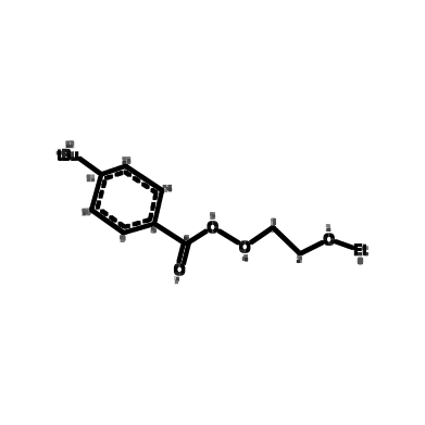 CCOC[CH]OOC(=O)c1ccc(C(C)(C)C)cc1